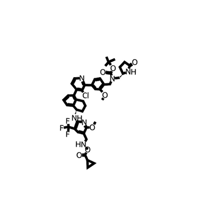 COc1cc(-c2nccc(-c3cccc4c3CCC[C@@H]4Nc3nc(OC)c(CNOC(=O)C4CC4)cc3C(F)(F)F)c2Cl)ccc1CN(C[C@@H]1CCC(=O)N1)C(=O)OC(C)(C)C